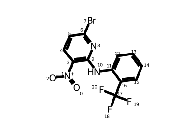 O=[N+]([O-])c1ccc(Br)nc1Nc1ccccc1C(F)(F)F